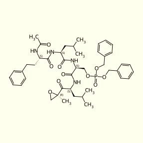 CC(=O)N[C@@H](CCc1ccccc1)C(=O)N[C@@H](CC(C)C)C(=O)N[C@@H](COP(=O)(OCc1ccccc1)OCc1ccccc1)C(=O)N[C@@H](CC(C)C)C(=O)[C@@]1(C)CO1